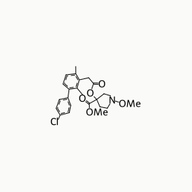 COC(=O)C1(OC(=O)Cc2c(C)ccc(-c3ccc(Cl)cc3)c2C)CCN(OC)CC1